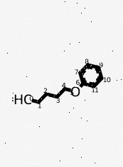 [CH]CCCCOc1ccccc1